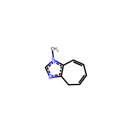 Cn1cnc2c1C=CC=CC2